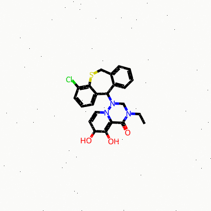 CCN1CN(C2c3ccccc3CSc3c(Cl)cccc32)N2C=CC(O)C(O)=C2C1=O